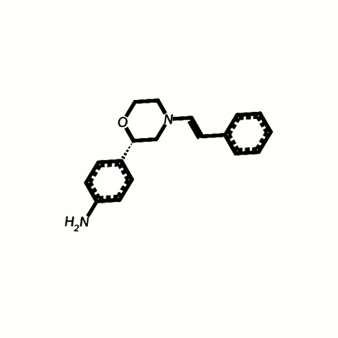 Nc1ccc([C@H]2CN(C=Cc3ccccc3)CCO2)cc1